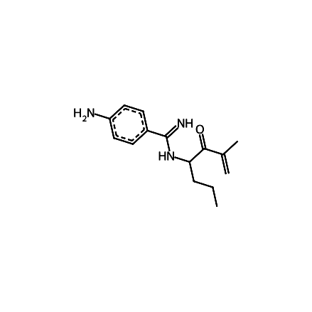 C=C(C)C(=O)C(CCC)NC(=N)c1ccc(N)cc1